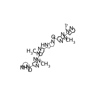 CCn1c(-c2nc3cc(C(=O)N4CCC[C@@H](N)C4)cnc3n2CC)cc2cc(C3CC4CCN(C(=O)c5cnc6c(c5)nc(-c5cc7cccnc7n5CC5CC5)n6C)CC4N3)cnc21